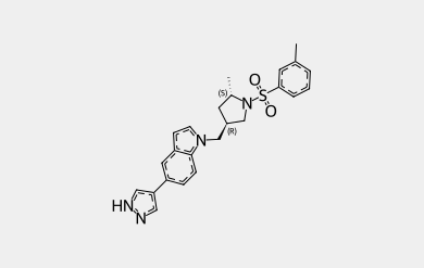 Cc1cccc(S(=O)(=O)N2C[C@@H](Cn3ccc4cc(-c5cn[nH]c5)ccc43)C[C@@H]2C)c1